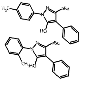 CCCCc1nn(-c2ccc(C)cc2)c(O)c1-c1ccccc1.CCCCc1nn(-c2ccccc2C)c(O)c1-c1ccccc1